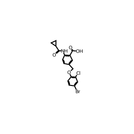 O=C(O)c1cc(COc2ccc(Br)cc2Cl)ccc1NC(=O)C1CC1